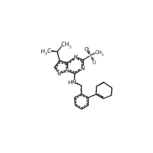 CC(C)c1cnn2c(NCc3ccccc3C3=CCCCC3)nc(S(C)(=O)=O)nc12